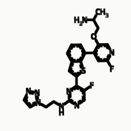 CC(N)COc1cnc(F)cc1-c1cccc2cc(-c3nc(NCCn4ccnn4)ncc3F)sc12